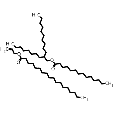 C=CCOC(=O)CCCCCCCCCCCCCCCCC.CCCCCCCCCCCCCC(=O)OCC(CCCCCCCC)CCCCCCCCCC